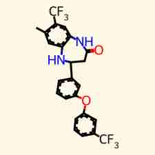 Cc1cc2c(cc1C(F)(F)F)NC(=O)CC(c1cccc(Oc3cccc(C(F)(F)F)c3)c1)N2